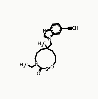 C#Cc1ccc2ncn(CC3(C)CCCOSC(=O)N(CC)CCC3)c2c1